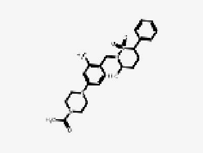 CC(=O)N1CCN(c2ccc(CN3C(C)CCC(c4ccccc4)S3(=O)=O)c(C)c2)CC1